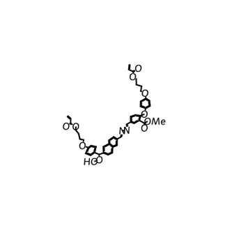 C=CC(=O)OCCCCOc1ccc(Oc2ccc(/C=N/N=C/c3ccc4cc(C(OO)c5ccc(OCCCCOC(=O)C=C)cc5)ccc4c3)cc2C(=O)OC)cc1